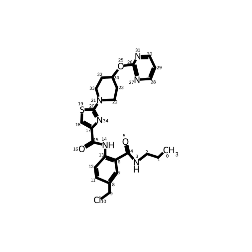 CCCNC(=O)c1cc(CCl)ccc1NC(=O)c1csc(N2CCC(Oc3ncccn3)CC2)n1